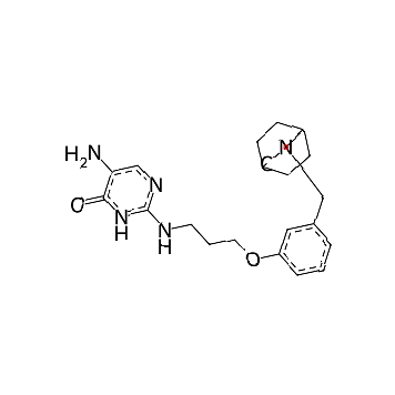 Nc1cnc(NCCCOc2cccc(CN3CC4CCC(CC4)C3)c2)[nH]c1=O